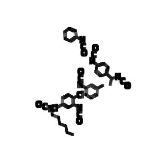 CC(N=C=O)c1ccc(N=C=O)cc1.CCCCCCN=C=O.Cc1cccc(N=C=O)c1.O=C=Nc1cc(Cl)ccc1Cl.O=C=Nc1ccccc1